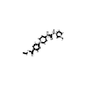 CCOC(=O)c1ccc(N2CCC(NC(=O)N[C@@H]3CCN(C)C3)CC2)nc1